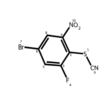 N#CSc1c(F)cc(Br)cc1[N+](=O)[O-]